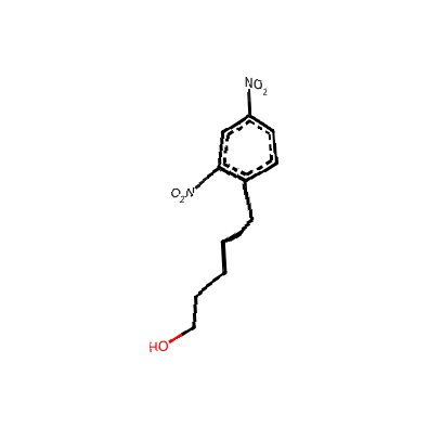 O=[N+]([O-])c1ccc(CCCCCO)c([N+](=O)[O-])c1